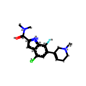 CC(=O)N1CCC=C(c2cc(Cl)c3cc(C(=O)N(C)C)[nH]c3c2F)C1